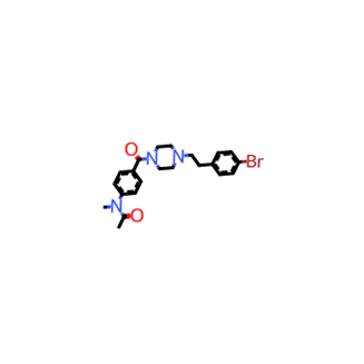 CC(=O)N(C)c1ccc(C(=O)N2CCN(CCc3ccc(Br)cc3)CC2)cc1